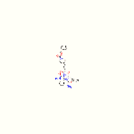 NCC(=O)N[C@@H](CC(=O)O)C(=O)N(C(=O)CCCC1CCN(C(=O)OCc2ccccc2)CC1)[C@@H](CC1CCCCC1)C(N)=O